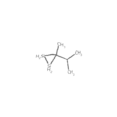 CC(C)C1(C)[SiH2][SiH2]1